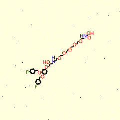 O=C(O)NCCOCCOCCOCCOCCOCCNCC(O)COc1ccc(OCc2ccc(F)cc2)c(OCc2ccc(F)cc2)c1